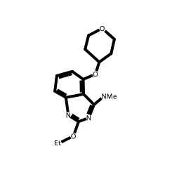 CCOc1nc(NC)c2c(OC3CCOCC3)cccc2n1